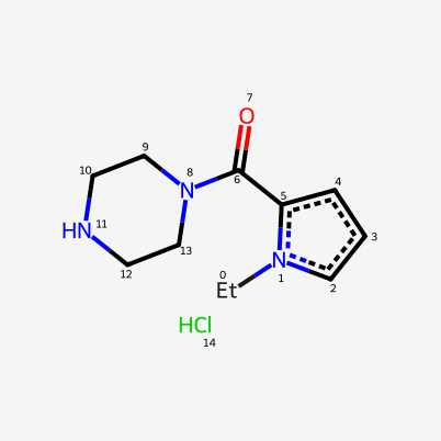 CCn1cccc1C(=O)N1CCNCC1.Cl